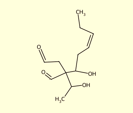 CC/C=C\CC(O)C([C]=O)(CC=O)C(C)O